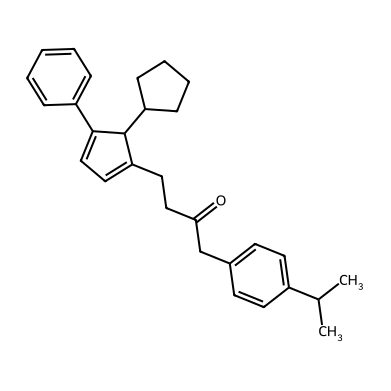 CC(C)c1ccc(CC(=O)CCC2=CC=C(c3ccccc3)C2C2CCCC2)cc1